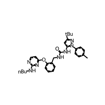 CCCCNc1nccc(Oc2ccccc2CNC(=O)Nc2cc(C(C)(C)C)nn2-c2ccc(C)cc2)n1